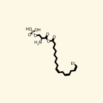 CC/C=C\C/C=C\C/C=C\CCCCCCCC(=O)OC(=O)[C@@H](N)COP(=O)(O)O